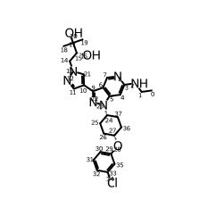 CCNc1cc2c(cn1)c(-c1cnn(C[C@@H](O)C(C)(C)O)c1)nn2[C@H]1CC[C@@H](Oc2cccc(Cl)c2)CC1